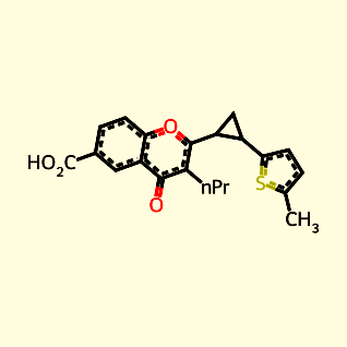 CCCc1c(C2CC2c2ccc(C)s2)oc2ccc(C(=O)O)cc2c1=O